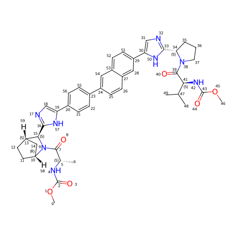 COC(=O)N[C@@H](C)C(=O)N1[C@@H]2CC[C@@H](C2)[C@H]1c1ncc(-c2ccc(-c3ccc4cc(-c5cnc([C@@H]6CCCN6C(=O)[C@@H](NC(=O)OC)C(C)C)[nH]5)ccc4c3)cc2)[nH]1